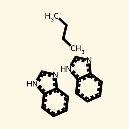 CCCC.c1ccc2[nH]cnc2c1.c1ccc2[nH]cnc2c1